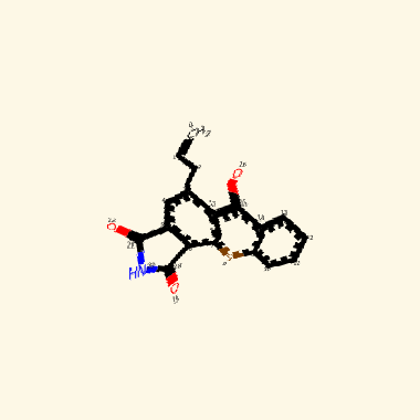 C=CCc1cc2c(c3sc4ccccc4c(=O)c13)C(=O)NC2=O